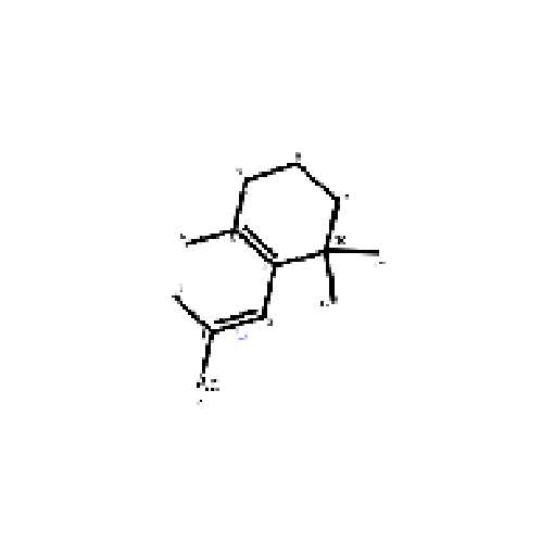 CC(=O)/C(C)=C/C1=C(C)CCCC1(C)C